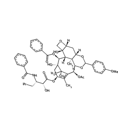 COc1ccc(C2O[C@H]3C[C@H]4OC[C@@]4(O)[C@H]4[C@H](OC(=O)c5ccccc5)[C@]5(O)C[C@H](OC(=O)[C@H](O)[C@H](CC(C)C)NC(=O)c6ccccc6)C(C)=C([C@H](OC(C)=O)[C@H](O2)[C@]34C)C5(C)C)cc1